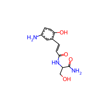 NC(=O)C(CO)NC(=O)C=Cc1cc(N)ccc1O